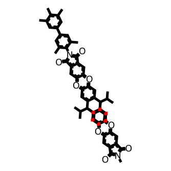 Cc1cc(-c2cc(C)c(-n3c(=O)c4cc5oc6cc7c(cc6oc5cc4c3=O)C3(C(C)C)c4ccccc4C7(C(C)C)c4cc5oc6cc7c(=O)n(C)c(=O)c7cc6oc5cc43)c(C)c2)cc(C)c1C